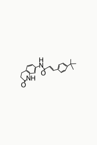 CC(C)(C)c1ccc(/C=C/C(=O)Nc2ccc3c(c2)NC(=O)CC3)cc1